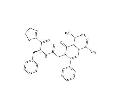 CC(=O)N1C=C(c2ccccc2)N(CC(=O)N[C@@H](Cc2ccccc2)C(=O)C2=NCCS2)C(=O)C1C(C)C